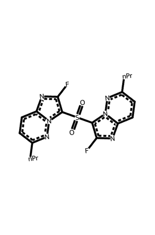 CCCc1ccc2nc(F)c(S(=O)(=O)c3c(F)nc4ccc(CCC)nn34)n2n1